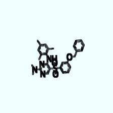 Cc1cc(C)c(Nc2nc(N(C)C)ncc2S(=O)(=O)c2cccc(OCc3ccccc3)c2)c(C)c1